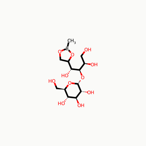 CB1OCC([C@@H](O)[C@H](O[C@H]2O[C@H](CO)[C@@H](O)[C@H](O)[C@H]2O)[C@H](O)CO)O1